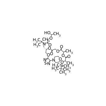 CC(O)OCC(=O)N(C[C@@H](COc1nsnc1N1CCOCC1)OC(=O)COC(=O)[C@@H](C)OC(=O)C(C)O[Si](C)(C)C(C)(C)C)C(C)(C)C